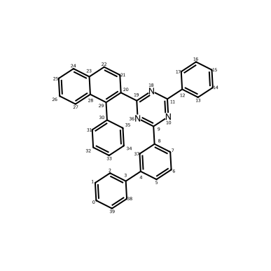 c1ccc(-c2cccc(-c3nc(-c4ccccc4)nc(-c4ccc5ccccc5c4-c4ccccc4)n3)c2)cc1